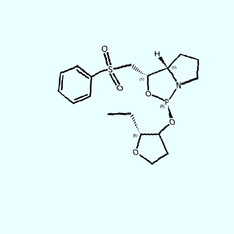 CC[C@H]1OCCC1O[P@@]1O[C@H](CS(=O)(=O)c2ccccc2)[C@@H]2CCCN21